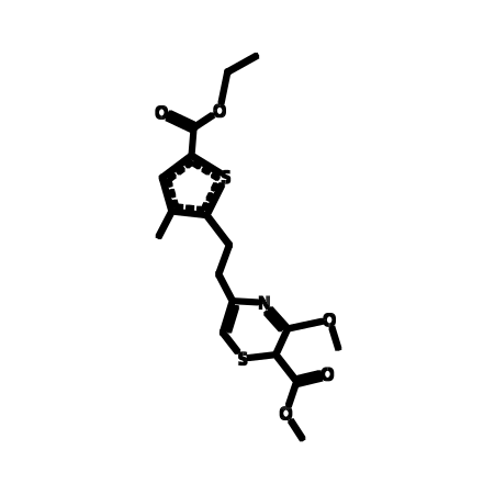 CCOC(=O)c1cc(C)c(CCC2=CSC(C(=O)OC)C(OC)=N2)s1